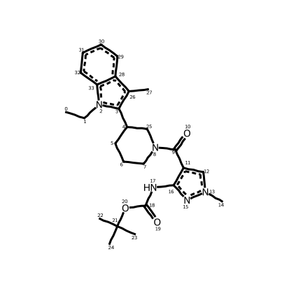 CCn1c(C2CCCN(C(=O)c3cn(C)nc3NC(=O)OC(C)(C)C)C2)c(C)c2ccccc21